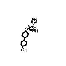 CC(C=N)(OC1CCC(C2CCC(O)CC2)CC1)C(=O)n1ccnc1